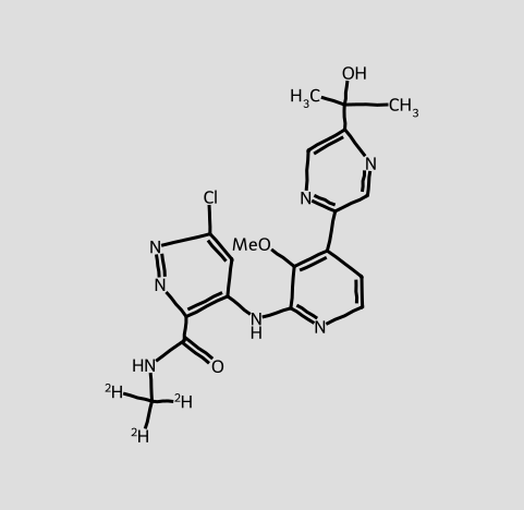 [2H]C([2H])([2H])NC(=O)c1nnc(Cl)cc1Nc1nccc(-c2cnc(C(C)(C)O)cn2)c1OC